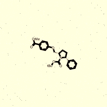 COC(=O)c1ccc(OC[C@@H]2CC[C@H](c3ccccc3)N2C(=O)OC(C)(C)C)cc1